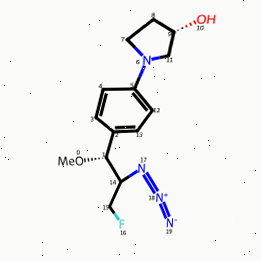 CO[C@H](c1ccc(N2CC[C@H](O)C2)cc1)C(CF)N=[N+]=[N-]